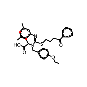 CCOc1ccc(CN(/C(=N\c2cccc(C)c2)SCCCC(=O)c2ccccc2)C(CC(C)C)C(=O)O)cc1